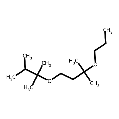 CCCOC(C)(C)CCOC(C)(C)C(C)C